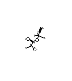 C#CC(C)(C)OC(=O)C(C)[O]